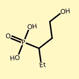 CCC(CCO)P(=O)(O)O